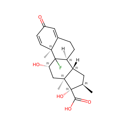 C[C@@H]1C[C@H]2[C@@H]3CCC4=CC(=O)C=C[C@]4(C)C3(F)[C@@H](O)C[C@]2(C)[C@]1(O)C(=O)O